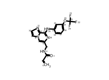 C=CC(=O)NCc1cn2ccnc2c(Nc2cccc(OC(F)(F)F)c2)n1